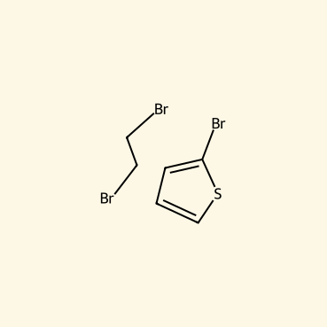 BrCCBr.Brc1cccs1